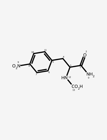 NC(=O)C(Cc1ccc([N+](=O)[O-])cc1)NC(=O)O